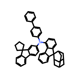 c1ccc(-c2ccc(N(c3ccc4c(c3)C3(CCCC3)c3ccccc3-4)c3cccc4c3-c3ccccc3C43C4CC5CC(C4)CC3C5)cc2)cc1